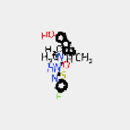 CC1C[C@]23Cc4ccc(O)cc4[C@]2(C)[C@@H](N(C)C(=O)Nc2nc4cc(F)ccc4s2)[C@H]13